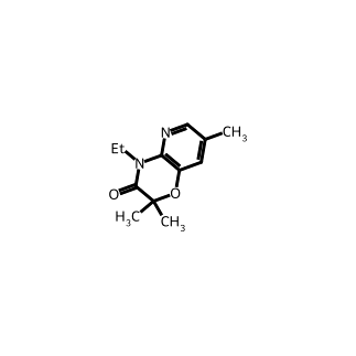 CCN1C(=O)C(C)(C)Oc2cc(C)cnc21